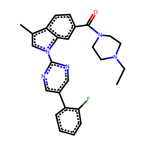 CCN1CCN(C(=O)c2ccc3c(C)cn(-c4ncc(-c5ccccc5F)cn4)c3c2)CC1